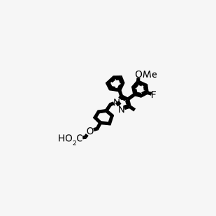 COc1cc(F)cc(-c2c(C)nn(CC3CCC(COCC(=O)O)CC3)c2-c2ccccc2)c1